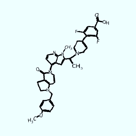 COc1ccc(CN2CCc3c2ccn(-c2ccnc4c2cc(C(C)N2CC=C(c5c(F)cc(C(=O)O)cc5F)CC2)n4C)c3=O)cc1